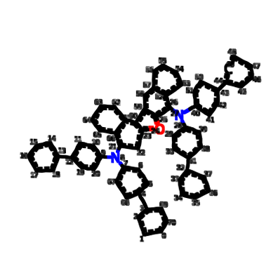 c1ccc(-c2ccc(N(c3ccc(-c4ccccc4)cc3)c3cc4oc5c(N(c6ccc(-c7ccccc7)cc6)c6ccc(-c7ccccc7)cc6)c6ccccc6cc5c4c4ccccc34)cc2)cc1